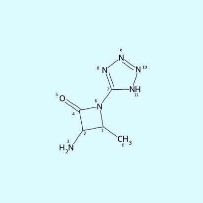 CC1C(N)C(=O)N1c1nnn[nH]1